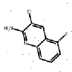 Nc1nc2cccc(F)c2cc1Cl